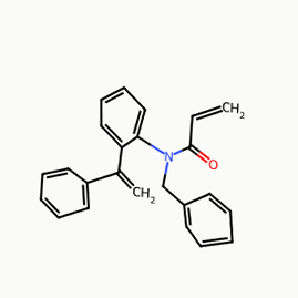 C=CC(=O)N(Cc1ccccc1)c1ccccc1C(=C)c1ccccc1